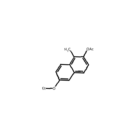 CCOc1ccc2c(C)c(OC(C)=O)ccc2c1